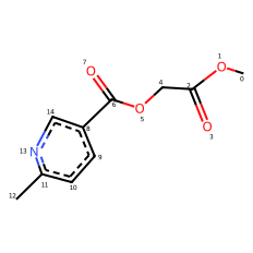 COC(=O)COC(=O)c1ccc(C)nc1